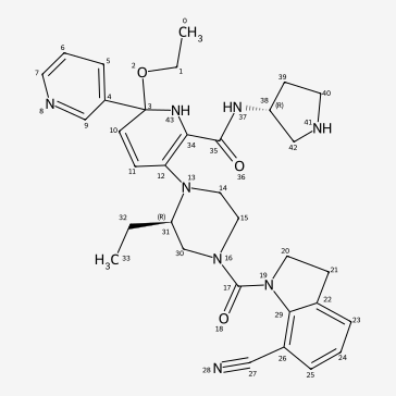 CCOC1(c2cccnc2)C=CC(N2CCN(C(=O)N3CCc4cccc(C#N)c43)C[C@H]2CC)=C(C(=O)N[C@@H]2CCNC2)N1